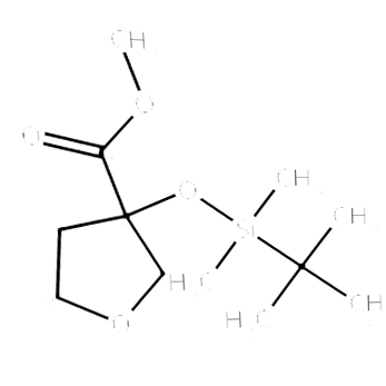 COC(=O)C1(O[Si](C)(C)C(C)(C)C)CCOC1